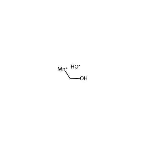 O[CH2][Mn+].[OH-]